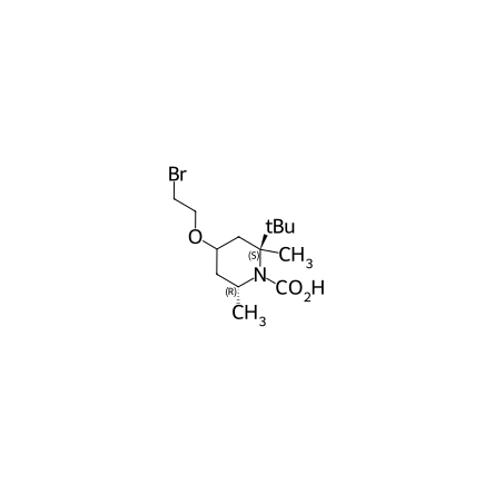 C[C@@H]1CC(OCCBr)C[C@@](C)(C(C)(C)C)N1C(=O)O